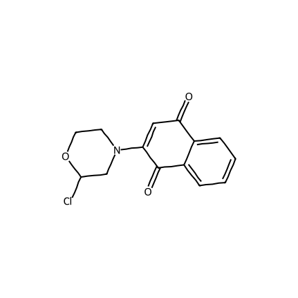 O=C1C=C(N2CCOC(Cl)C2)C(=O)c2ccccc21